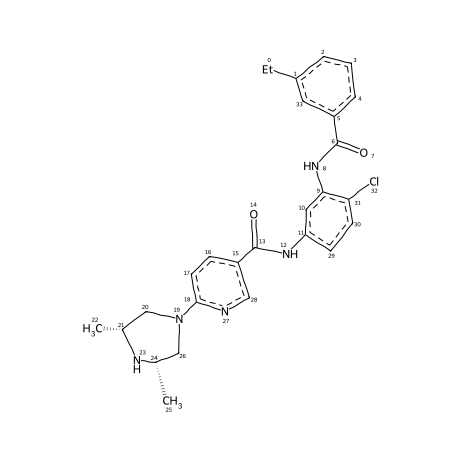 CCc1cccc(C(=O)Nc2cc(NC(=O)c3ccc(N4C[C@@H](C)N[C@@H](C)C4)nc3)ccc2Cl)c1